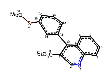 CCOC(=O)c1cnc2ccccc2c1-c1cccc(SOC)c1